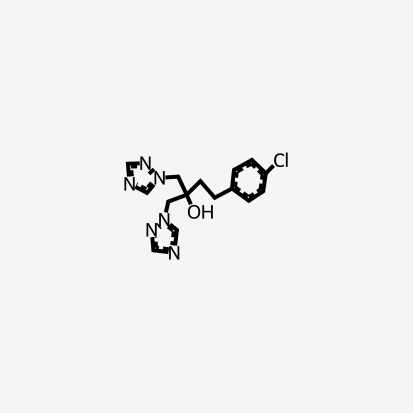 OC(CCc1ccc(Cl)cc1)(Cn1cncn1)Cn1cncn1